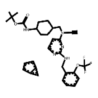 C#CN(CC1CCC(NC(=O)OC(C)(C)C)CC1)c1ccnc(NCc2ccccc2OC(F)(F)F)n1.c1cc2cc-2c1